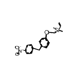 C=C[Si](C)(C)COc1ccc(Cc2ccc([N+](=O)[O-])cc2)cc1